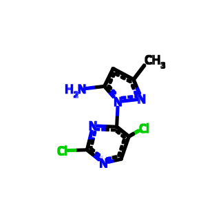 Cc1cc(N)n(-c2nc(Cl)ncc2Cl)n1